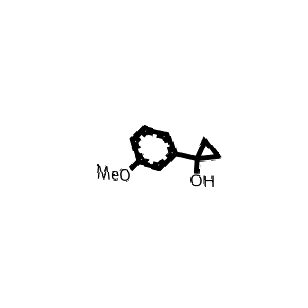 COc1cccc(C2(O)CC2)c1